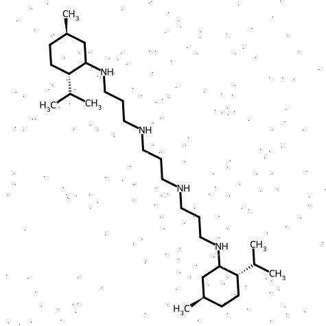 CC(C)[C@@H]1CC[C@@H](C)CC1NCCCNCCCNCCCNC1C[C@H](C)CC[C@H]1C(C)C